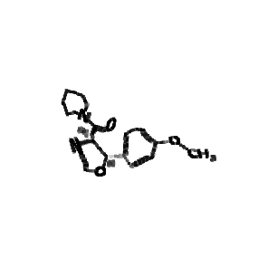 COc1ccc([C@@H]2OC=N[C@H]2C(=O)N2CCCC2)cc1